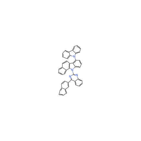 c1ccc2cc(-c3nc(-n4c5cccc(-n6c7ccccc7c7ccccc76)c5c5ccc6ccccc6c54)nc4ccccc34)ccc2c1